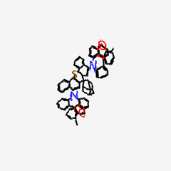 Cc1cccc2c1oc1cccc(N(c3ccccc3-c3ccccc3)c3cc4c(c5ccccc35)Sc3c(cc(N(c5ccccc5-c5ccccc5)c5cccc6oc7c(C)cccc7c56)c5ccccc35)C43C4CC5CC(C4)CC3C5)c12